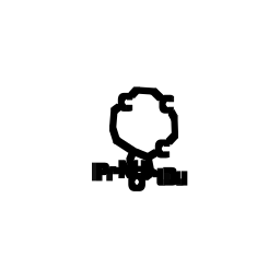 CC(C)NC1CCCCCCCCCCC1C(=O)C(C)(C)C